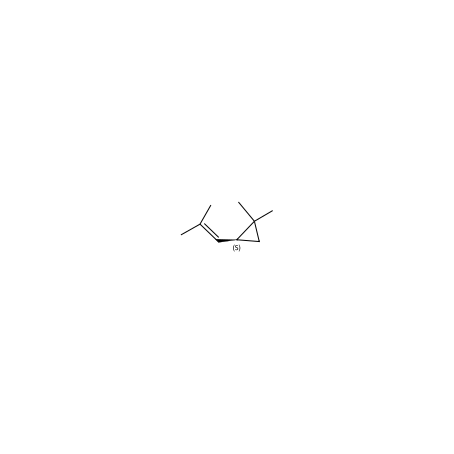 CC(C)=C[C@@H]1CC1(C)C